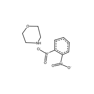 C1COCCN1.O=[N+]([O-])c1ccccc1[N+](=O)[O-]